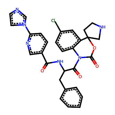 O=C(NC(Cc1ccccc1)C(=O)N1C(=O)OC2(CCNC2)c2cc(Cl)ccc21)c1ccc(-n2ccnc2)nc1